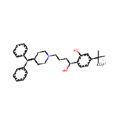 CC(C)(C(=O)O)c1ccc(C(O)CCCN2CCC(=C(c3ccccc3)c3ccccc3)CC2)c(O)c1